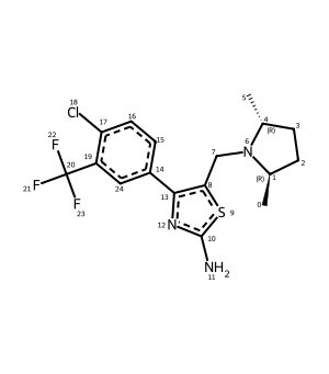 C[C@@H]1CC[C@@H](C)N1Cc1sc(N)nc1-c1ccc(Cl)c(C(F)(F)F)c1